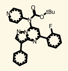 CC(C)(C)OC(=O)N(c1ccncc1)c1cc(-c2ccccc2F)nc2c(-c3ccccc3)cnn12